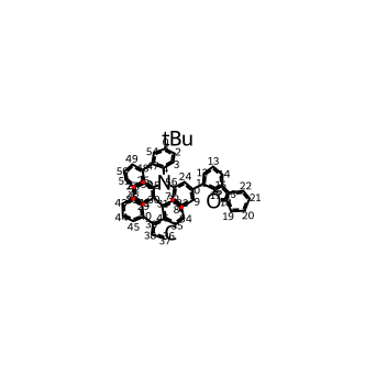 CC(C)(C)c1ccc(N(c2cccc(-c3cccc4c3oc3ccccc34)c2)c2ccccc2-c2cccc3cccc(-c4ccccc4)c23)c(-c2ccccc2)c1